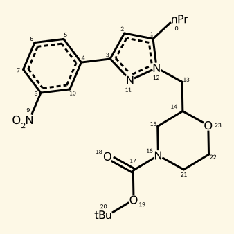 CCCc1cc(-c2cccc([N+](=O)[O-])c2)nn1CC1CN(C(=O)OC(C)(C)C)CCO1